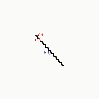 CCCCCCCCCCCCCCCCCCOC(=O)C(C)O.N